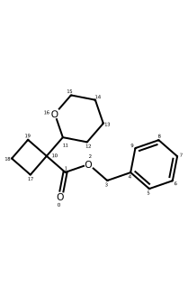 O=C(OCc1ccccc1)C1(C2CCCCO2)CCC1